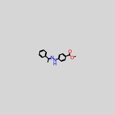 COC(=O)c1ccc(N/N=C(\C)c2ccccc2)cc1